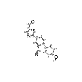 COc1ccc(-c2ccc(-c3ncc(C=O)s3)cc2C#N)cc1